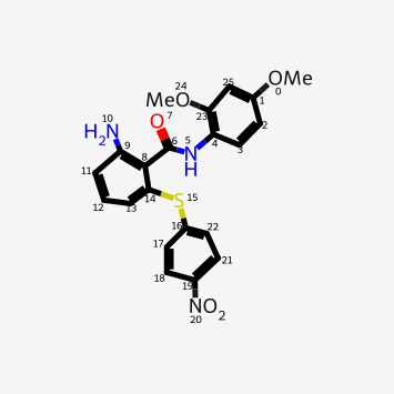 COc1ccc(NC(=O)c2c(N)cccc2Sc2ccc([N+](=O)[O-])cc2)c(OC)c1